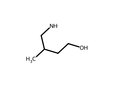 CC(C[NH])CCO